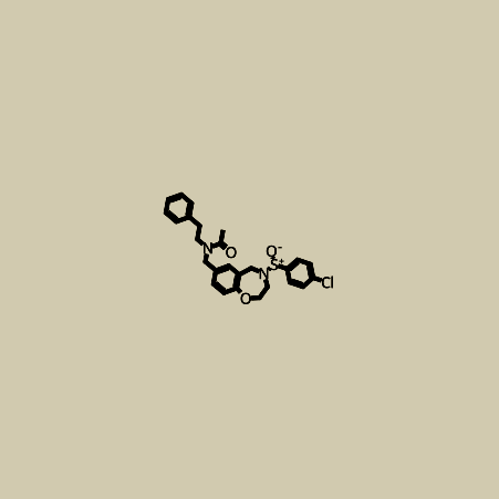 CC(=O)N(CCc1ccccc1)Cc1ccc2c(c1)CN([S+]([O-])c1ccc(Cl)cc1)CCO2